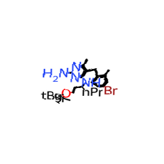 CCC[C@@H](CCO[Si](C)(C)C(C)(C)C)Nc1nc(N)nc(C)c1Cc1ccc(Br)cc1C